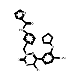 CCC1OC(=O)N(Cc2cccc(NC(=O)c3ccco3)c2)N=C1c1ccc(OC)c(OC2CCCC2)c1